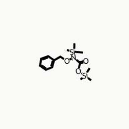 C[Si](C)(C)OC(=O)N(OCc1ccccc1)[Si](C)(C)C